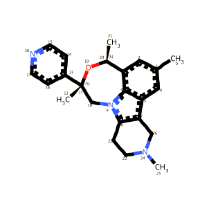 Cc1cc2c3c(c1)c1c(n3C[C@](C)(c3ccncc3)O[C@H]2C)CCN(C)C1